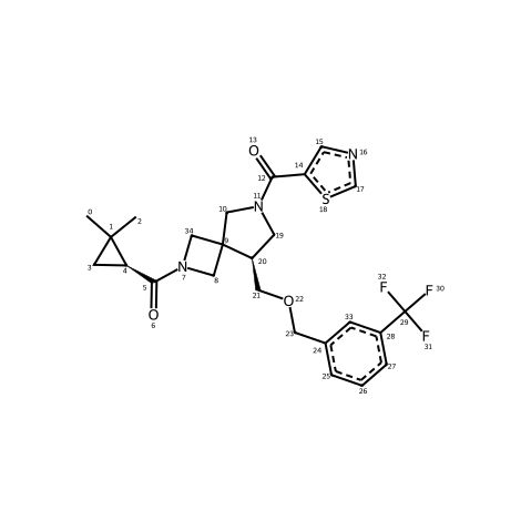 CC1(C)C[C@@H]1C(=O)N1CC2(CN(C(=O)c3cncs3)C[C@H]2COCc2cccc(C(F)(F)F)c2)C1